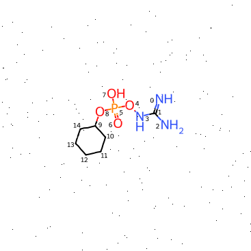 N=C(N)NOP(=O)(O)OC1CCCCC1